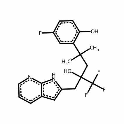 CC(C)(CC(O)(Cc1cc2cccnc2[nH]1)C(F)(F)F)c1cc(F)ccc1O